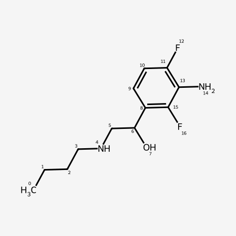 CCCCNCC(O)c1ccc(F)c(N)c1F